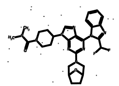 CN(C)C(=O)N1CCC(n2cnc3c(-n4c(C(F)F)nc5ccccc54)nc(N4CC5CCC(C4)O5)nc32)CC1